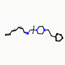 CN/C=C/C=C\C=N/CC(C)(C)N1CCN(CCc2ccccc2)CC1